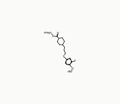 [CH2+][CH-]CCOc1ccc(SCCCC2CCC(C(=O)OCCCCCCC)CC2)cc1F